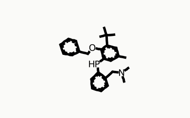 Cc1cc(Pc2ccccc2CN(C)C)c(OCc2ccccc2)c(C(C)(C)C)c1